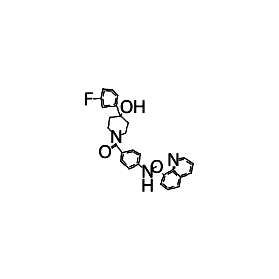 O=C(c1ccc(NOc2cccc3cccnc23)cc1)N1CCC(O)(c2cccc(F)c2)CC1